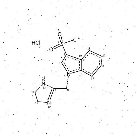 Cl.O=S(=O)(Cl)c1cn(CC2=NCCN2)c2ccccc12